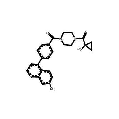 O=C(c1ccc(-c2ccnc3cc(C(F)(F)F)ccc23)cc1)N1CCN(C(=O)C2(O)CC2)CC1